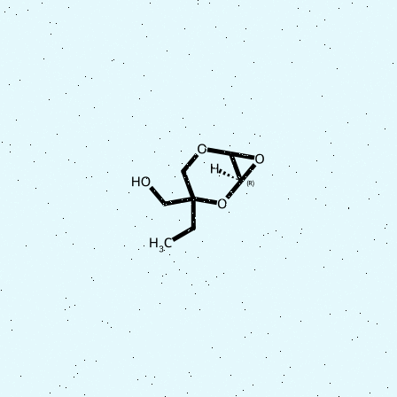 CCC1(CO)COC2O[C@H]2O1